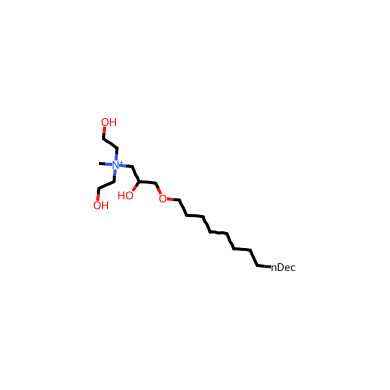 CCCCCCCCCCCCCCCCCCOCC(O)C[N+](C)(CCO)CCO